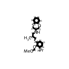 COCOc1c(SC[C@H](C)CNC2COc3ccccc3SC2)cccc1C(C)C